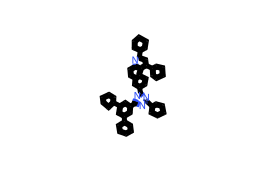 c1ccc(-c2cc(-c3ccccc3)cc(-c3nc(-c4ccccc4)nc(-c4ccc5c(ccc6nc(-c7ccccc7)cc(-c7ccccc7)c65)c4)n3)c2)cc1